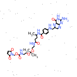 C[C@H](CCC(=O)NCCOC(C)(C)OCCNC(=O)OCN1C(=O)C=CC1=O)NC(=O)c1ccc(NCc2cnc3nc(N)[nH]c(=O)c3n2)cc1